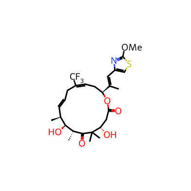 COc1nc(/C=C(\C)[C@@H]2C/C=C(/C(F)(F)F)C/C=C/[C@H](C)[C@H](O)[C@@H](C)C(=O)C(C)(C)[C@@H](O)CC(=O)O2)cs1